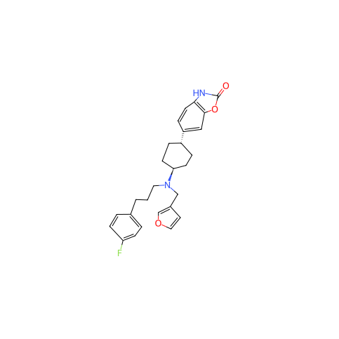 O=c1[nH]c2ccc([C@H]3CC[C@H](N(CCCc4ccc(F)cc4)Cc4ccoc4)CC3)cc2o1